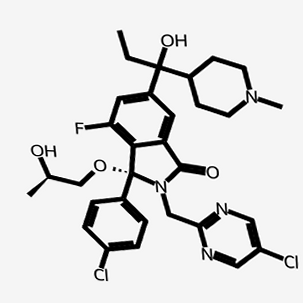 CCC(O)(c1cc(F)c2c(c1)C(=O)N(Cc1ncc(Cl)cn1)[C@@]2(OC[C@@H](C)O)c1ccc(Cl)cc1)C1CCN(C)CC1